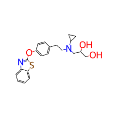 OCC(O)CN(CCc1ccc(Oc2nc3ccccc3s2)cc1)C1CC1